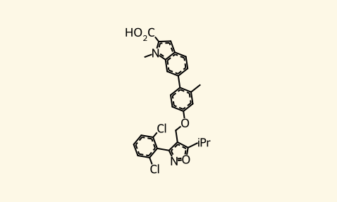 Cc1cc(OCc2c(-c3c(Cl)cccc3Cl)noc2C(C)C)ccc1-c1ccc2cc(C(=O)O)n(C)c2c1